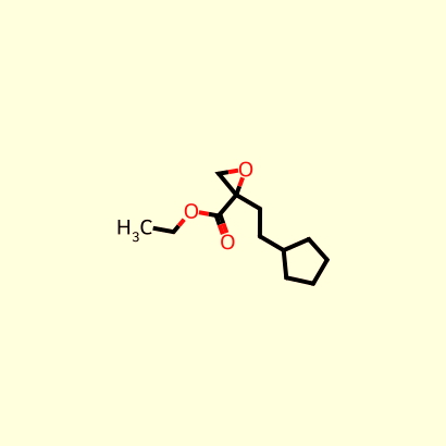 CCOC(=O)C1(CCC2CCCC2)CO1